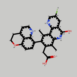 Cc1c(CC(=O)O)c(-c2ccc3c4c(ccnc24)CCO3)c(C)c2c1nc(O)c1cc(F)cnc12